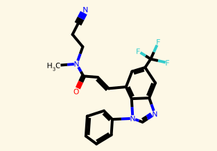 CN(CCC#N)C(=O)C=Cc1cc(C(F)(F)F)cc2ncn(-c3ccccc3)c12